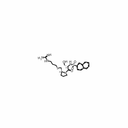 N=C(N)NCCCSC[C@@H]1CCCN1C(=O)[C@H](CO)NS(=O)(=O)c1ccc2ccccc2c1